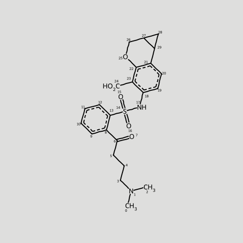 CN(C)CCCC(=O)c1ccccc1S(=O)(=O)Nc1ccc2c(c1C(=O)O)OCC1CC21